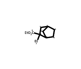 CCOC(=O)C1(CC)CC2CCC1C2